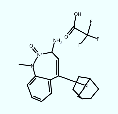 CN1c2ccccc2C(N2CC3CCC(CC3)C2)=CC(N)[N+]1=O.O=C(O)C(F)(F)F